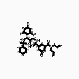 C=CCN(CC=C)C(=O)c1cc(Cl)cc(C(=O)N[C@@H](Cc2cc(F)cc(F)c2)[C@H](O)CNC(C)(C)c2ccccc2)c1